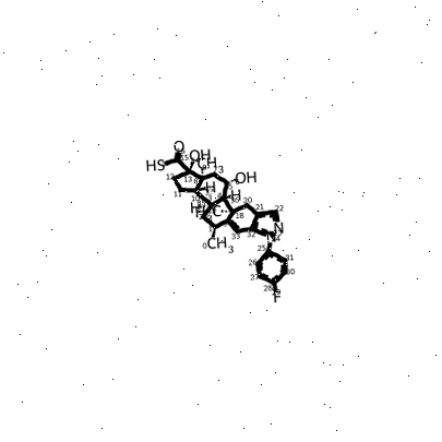 C[C@H]1C[C@@H]2[C@H]([C@@H](O)C[C@@]3(C)[C@H]2CC[C@]3(O)C(=O)S)[C@@]2(C)Cc3cnn(-c4ccc(F)cc4)c3C=C12